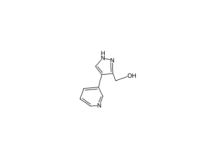 OCc1n[nH]cc1-c1cccnc1